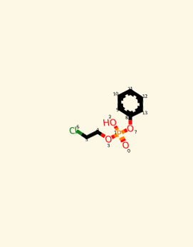 O=P(O)(OCCCl)Oc1ccccc1